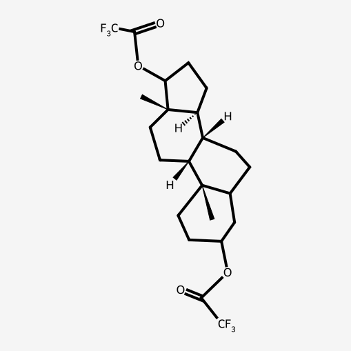 C[C@]12CCC(OC(=O)C(F)(F)F)CC1CC[C@@H]1[C@H]2CC[C@]2(C)C(OC(=O)C(F)(F)F)CC[C@@H]12